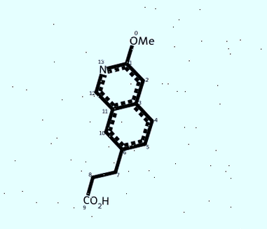 COc1cc2ccc(CCC(=O)O)cc2cn1